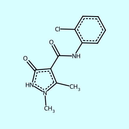 Cc1c(C(=O)Nc2ccccc2Cl)c(=O)[nH]n1C